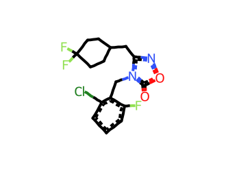 O=c1onc(CC2CCC(F)(F)CC2)n1Cc1c(F)cccc1Cl